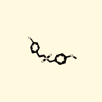 COc1ccc(CS(=O)(=O)/C=C/c2ccc(Cl)cc2)cc1